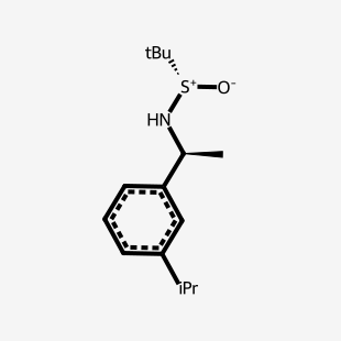 CC(C)c1cccc([C@H](C)N[S@@+]([O-])C(C)(C)C)c1